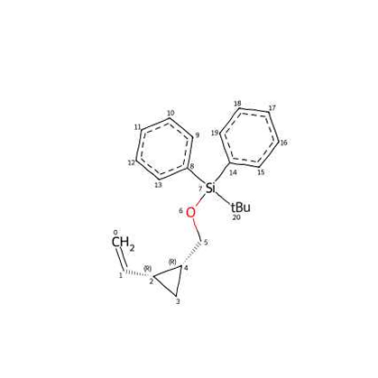 C=C[C@H]1C[C@H]1CO[Si](c1ccccc1)(c1ccccc1)C(C)(C)C